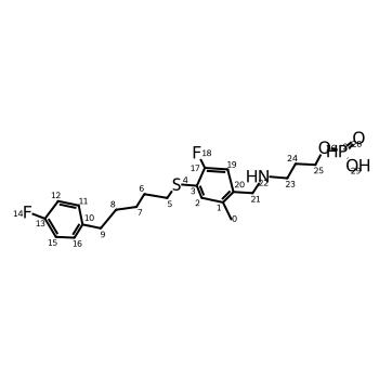 Cc1cc(SCCCCCc2ccc(F)cc2)c(F)cc1CNCCCO[PH](=O)O